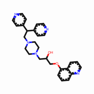 OC(COc1cccc2ncccc12)CN1CCN(CC(c2ccncc2)c2ccncc2)CC1